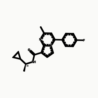 Cc1cc(-c2ccc(F)cc2)n2ccc(C(=O)N[C@@H](C)C3CC3)c2n1